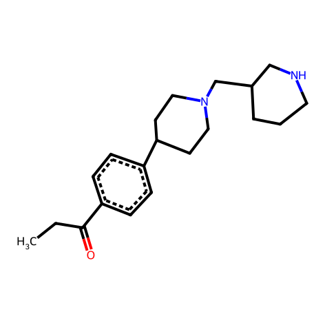 CCC(=O)c1ccc(C2CCN(CC3CCCNC3)CC2)cc1